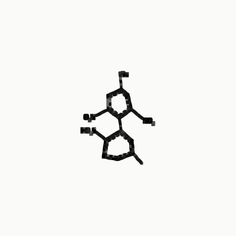 Cc1ccc(S(=O)(=O)O)c(-c2c([N+](=O)[O-])cc(C(C)(C)C)cc2[N+](=O)[O-])c1